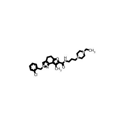 CCN1CCN(CCCNC(=O)c2oc3c(c2C)-c2nn(Cc4ccccc4Cl)cc2CC3)CC1